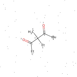 CCC(=O)C(C)(CC)C(=O)C(C)(C)C